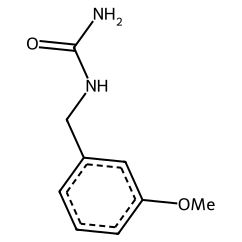 COc1cccc(CNC(N)=O)c1